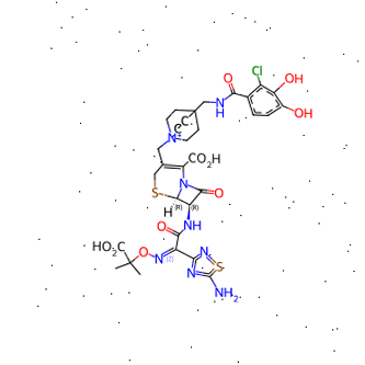 CC(C)(O/N=C(\C(=O)N[C@@H]1C(=O)N2C(C(=O)O)=C(C[N+]34CCC(CNC(=O)c5ccc(O)c(O)c5Cl)(CC3)CC4)CS[C@H]12)c1nsc(N)n1)C(=O)O